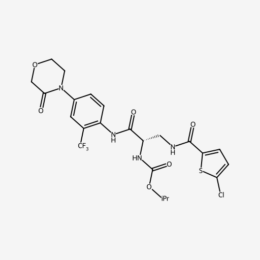 CC(C)OC(=O)N[C@@H](CNC(=O)c1ccc(Cl)s1)C(=O)Nc1ccc(N2CCOCC2=O)cc1C(F)(F)F